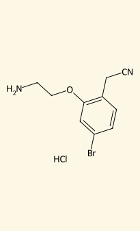 Cl.N#CCc1ccc(Br)cc1OCCN